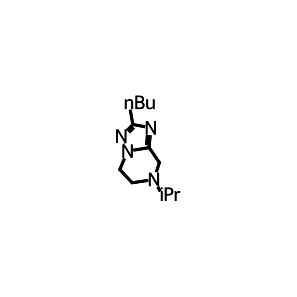 CCCCc1nc2n(n1)CCN(C(C)C)C2